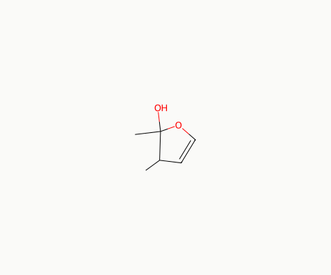 CC1C=COC1(C)O